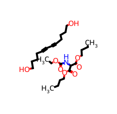 CCCCOC(=O)C(NC(=O)OCC)C(=O)OCCCC.OCCCCC#CC#CCCCCO